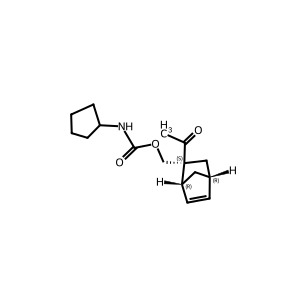 CC(=O)[C@@]1(COC(=O)NC2CCCC2)C[C@@H]2C=C[C@H]1C2